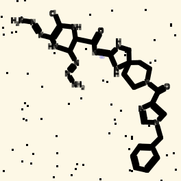 NN=NC1=C(Cl)NC(C(=O)/N=C2\NCC3(CCN(C(=O)c4cn(Cc5ccccc5)cn4)CC3)N2)C(N=NN)N1